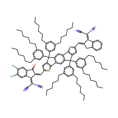 [C-]#[N+]/C(C#N)=C1/C(=C/c2cc3c(s2)-c2cc4c(cc2C3(c2cc(CCCCCC)cc(CCCCCC)c2)c2cc(CCCCCC)cc(CCCCCC)c2)-c2sc(/C=C3\C(=O)c5cc(Cl)c(Cl)cc5\C3=C(/C#N)[N+]#[C-])cc2C4(c2cc(CCCCCC)cc(CCCCCC)c2)c2cc(CCCCCC)cc(CCCCCC)c2)Cc2ccccc21